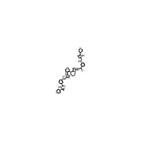 O=C(NCc1nnc2n1CCCCC2c1cnccc1-c1nnc(CNc2cccc(C(=O)NC3(c4ccncc4)CC3)c2)[nH]1)c1cccc(NCc2nnc(-c3ccncc3)[nH]2)c1